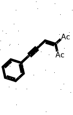 CC(=O)C(=CC#Cc1ccccc1)C(C)=O